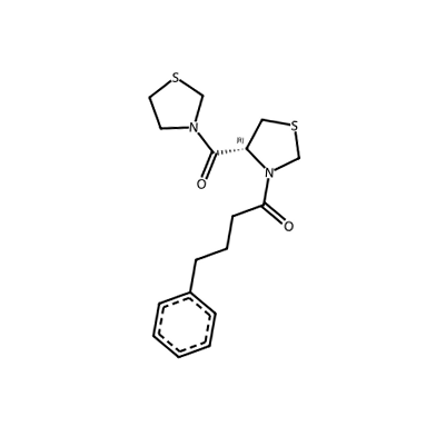 O=C([C@@H]1CSCN1C(=O)CCCc1ccccc1)N1CCSC1